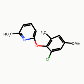 COc1cc(Cl)c(Oc2cccc(C(=O)O)n2)c(C(F)(F)F)c1